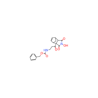 O=C(NCCC(=O)C12C(=O)N(O)C(=O)C1C1C=CC2C1)OCc1ccccc1